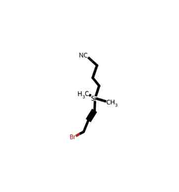 C[Si](C)(C#CCBr)CCCC#N